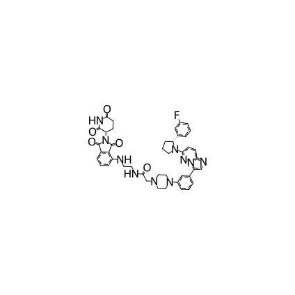 O=C(CN1CCN(c2cccc(-c3cnc4ccc(N5CCC[C@@H]5c5cccc(F)c5)nn34)c2)CC1)NCCNc1cccc2c1C(=O)N(C1CCC(=O)NC1=O)C2=O